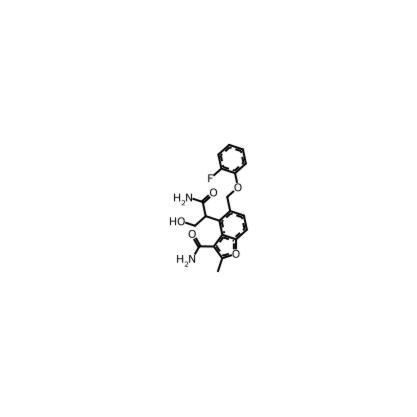 Cc1oc2ccc(COc3ccccc3F)c(C(CO)C(N)=O)c2c1C(N)=O